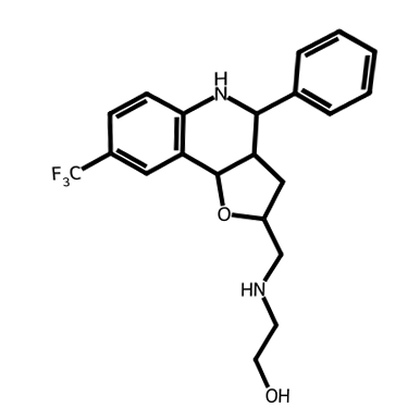 OCCNCC1CC2C(c3ccccc3)Nc3ccc(C(F)(F)F)cc3C2O1